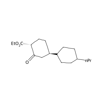 CCCC1CCC([C@@H]2CC[C@@H](C(=O)OCC)C(=O)C2)CC1